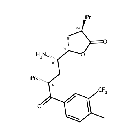 Cc1ccc(C(=O)[C@@H](C[C@H](N)[C@@H]2C[C@@H](C(C)C)C(=O)O2)C(C)C)cc1C(F)(F)F